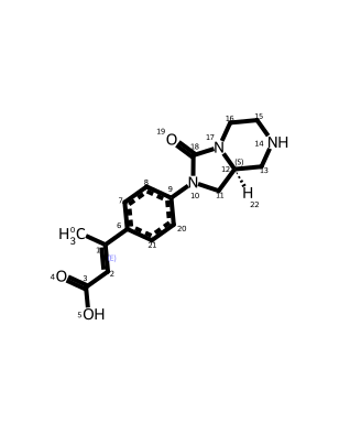 C/C(=C\C(=O)O)c1ccc(N2C[C@@H]3CNCCN3C2=O)cc1